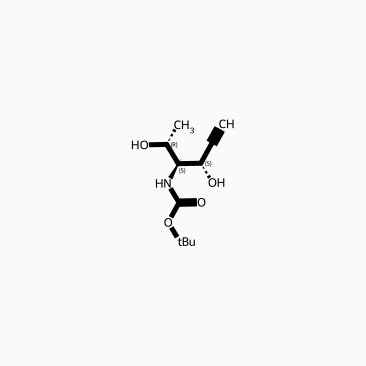 C#C[C@H](O)[C@@H](NC(=O)OC(C)(C)C)[C@@H](C)O